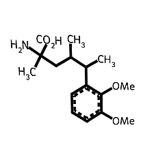 COc1cccc(C(C)C(C)CC(C)(N)C(=O)O)c1OC